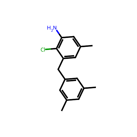 Cc1cc(C)cc(Cc2cc(C)cc(N)c2Cl)c1